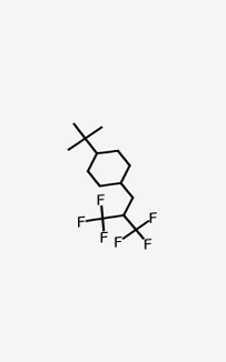 CC(C)(C)C1CCC(CC(C(F)(F)F)C(F)(F)F)CC1